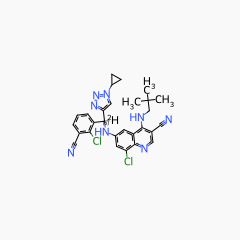 [2H][C@@](Nc1cc(Cl)c2ncc(C#N)c(NCC(C)(C)C)c2c1)(c1cn(C2CC2)nn1)c1cccc(C#N)c1Cl